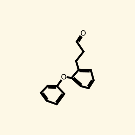 O=CCCc1ccccc1Oc1ccccc1